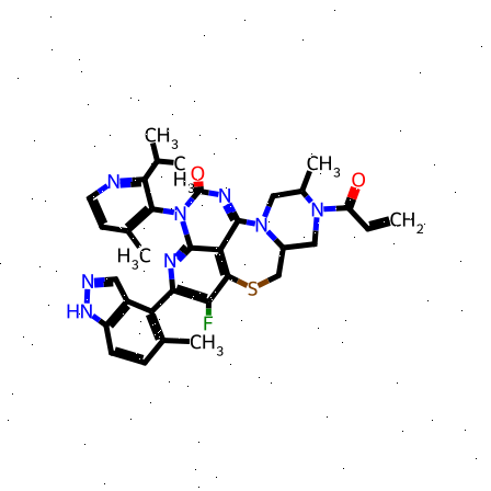 C=CC(=O)N1CC2CSc3c(F)c(-c4c(C)ccc5[nH]ncc45)nc4c3c(nc(=O)n4-c3c(C)ccnc3C(C)C)N2CC1C